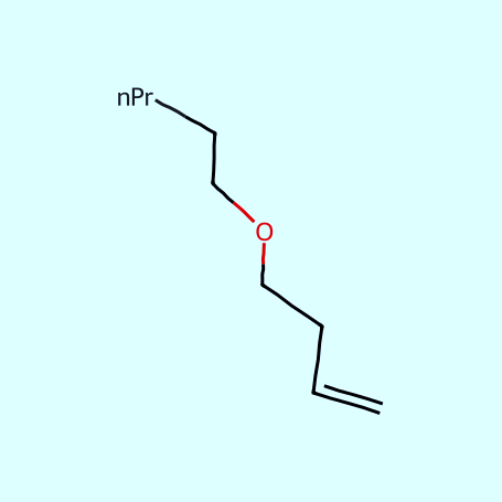 C=CCCOCCCCC